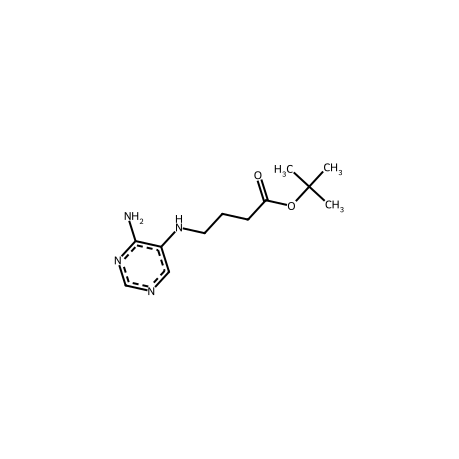 CC(C)(C)OC(=O)CCCNc1cncnc1N